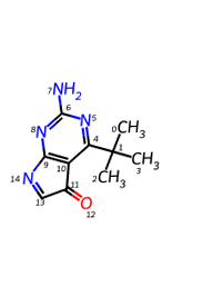 CC(C)(C)c1nc(N)nc2c1C(=O)C=N2